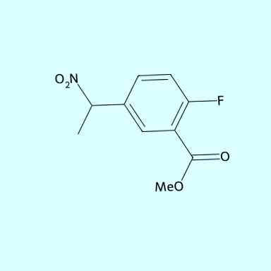 COC(=O)c1cc(C(C)[N+](=O)[O-])ccc1F